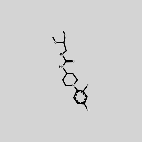 COC(CNC(=O)NC1CCN(c2ccc(Cl)cc2F)CC1)OC